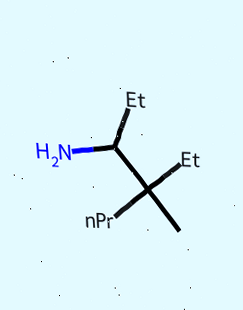 CCCC(C)(CC)C(N)CC